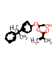 C=C(C)C(=O)OC(CO)Oc1ccc(C(C)(C)c2ccccc2)cc1